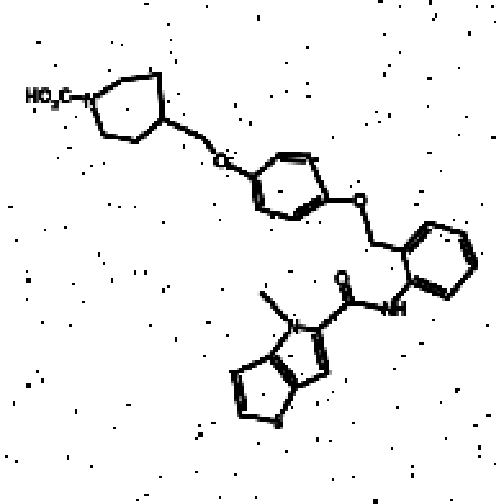 Cn1c(C(=O)Nc2ccccc2COc2ccc(OCC3CCN(C(=O)O)CC3)cc2)cc2sccc21